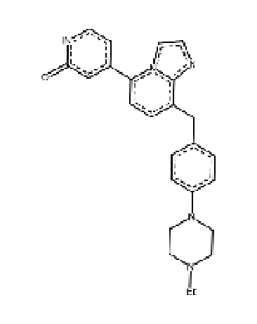 CCN1CCN(c2ccc(Cc3ccc(-c4cc[nH]c(=O)c4)n4ccnc34)cc2)CC1